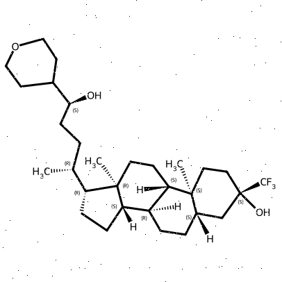 C[C@H](CC[C@H](O)C1CCOCC1)[C@H]1CC[C@H]2[C@@H]3CC[C@H]4C[C@](O)(C(F)(F)F)CC[C@]4(C)[C@H]3CC[C@]12C